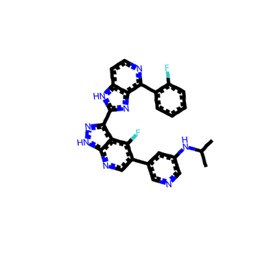 CC(C)Nc1cncc(-c2cnc3[nH]nc(-c4nc5c(-c6ccccc6F)nccc5[nH]4)c3c2F)c1